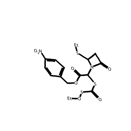 CCOSC(=O)SC(C(=O)OCc1ccc([N+](=O)[O-])cc1)N1C(=O)CC1SCC